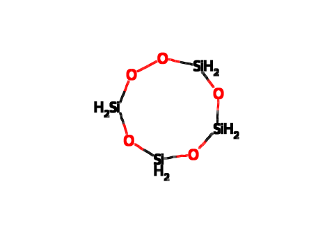 O1O[SiH2]O[SiH2]O[SiH2]O[SiH2]1